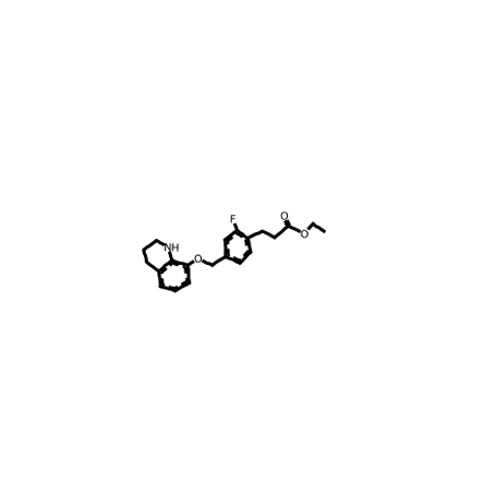 CCOC(=O)CCc1ccc(COc2cccc3c2NCCC3)cc1F